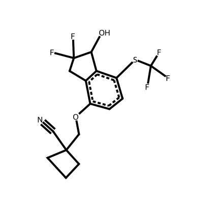 N#CC1(COc2ccc(SC(F)(F)F)c3c2CC(F)(F)C3O)CCC1